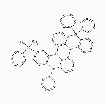 CC1(C)c2ccccc2-c2cc3c(cc21)B1c2cccc4c2N(c2ccccc2[Si]4(c2ccccc2)c2ccccc2)c2cccc(c21)N3c1ccccc1